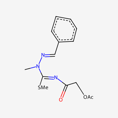 CSC(=NC(=O)COC(C)=O)N(C)N=Cc1ccccc1